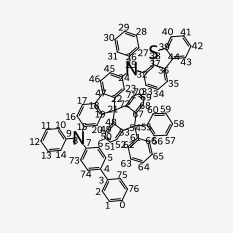 c1ccc(-c2ccc(N(c3ccccc3)c3ccc4c(c3)C3(c5cc(N(c6ccccc6)c6cccc7c6sc6ccccc67)ccc5-4)c4ccccc4C(c4ccccc4)(c4ccccc4)c4ccccc43)cc2)cc1